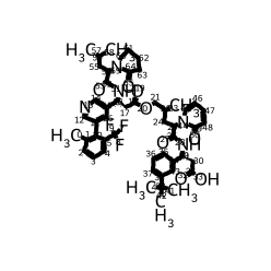 Cc1cccc(C(F)(F)F)c1-c1cncc([C@H](CC(=O)OCC(C)CC(C(=O)N[C@@H](CC(=O)O)c2cccc(C(C)(C)C)c2)n2ccccc2=O)NC(=O)C(CC(C)C)N2CCCCC2=O)c1